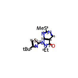 CCn1c(=O)c2cnc(SC)nc2n1-c1nc(C(C)(C)C)cs1